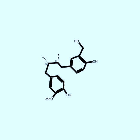 COc1cc(C[C@H](C)[C@H](C)Cc2ccc(O)c(CO)c2)ccc1O